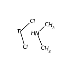 CNC.[Cl][Ti][Cl]